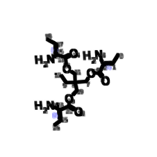 C/C=C(\N)C(=O)OCC(CC)(COC(=O)/C(N)=C/C)COC(=O)/C(N)=C/C